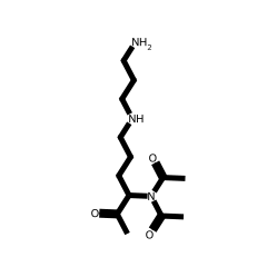 CC(=O)C(CCCNCCCN)N(C(C)=O)C(C)=O